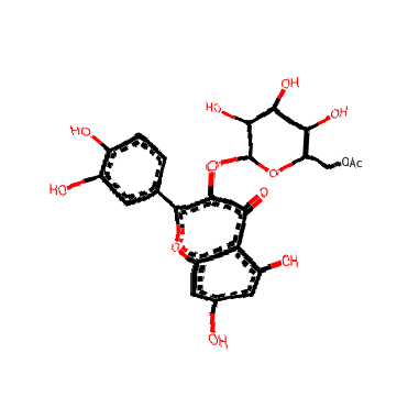 CC(=O)OCC1OC(Oc2c(-c3ccc(O)c(O)c3)oc3cc(O)cc(O)c3c2=O)C(O)C(O)C1O